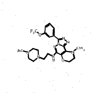 CC(=O)N1CCN(CCNc2nn3c(-c4cccc(OC(F)(F)F)c4)nnc3c3c2OCCN3C)CC1